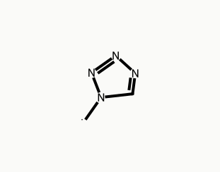 [CH2]n1cnnn1